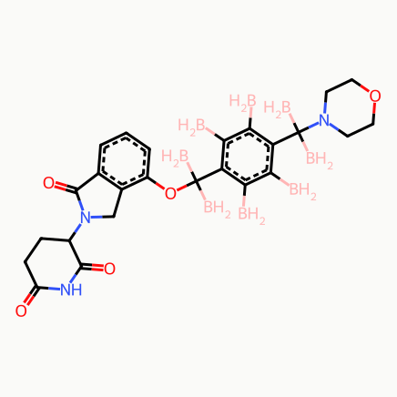 Bc1c(B)c(C(B)(B)N2CCOCC2)c(B)c(B)c1C(B)(B)Oc1cccc2c1CN(C1CCC(=O)NC1=O)C2=O